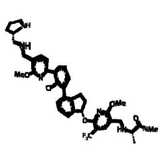 CNC(=O)[C@H](C)NCc1cc(C(F)(F)F)c(O[C@H]2CCc3c(-c4cccc(-c5ccc(CNC[C@@H]6CCCN6)c(OC)n5)c4Cl)cccc32)nc1OC